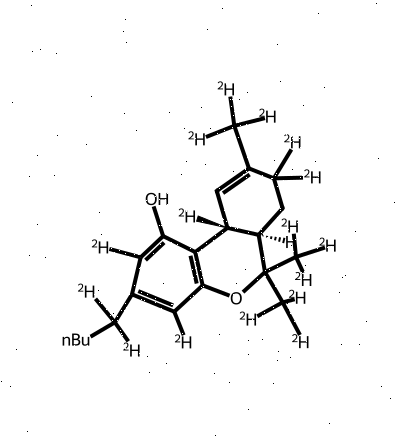 [2H]c1c(O)c2c(c([2H])c1C([2H])([2H])CCCC)OC(C([2H])([2H])[2H])(C([2H])([2H])[2H])[C@@H]1CC([2H])([2H])C(C([2H])([2H])[2H])=C[C@@]21[2H]